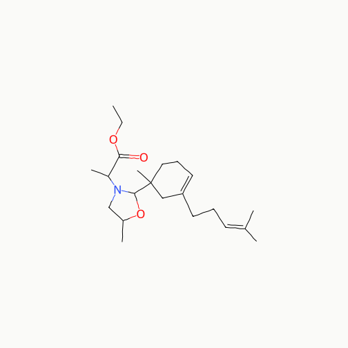 CCOC(=O)C(C)N1CC(C)OC1C1(C)CCC=C(CCC=C(C)C)C1